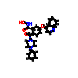 O=C(NO)[C@H]1C[C@H](Oc2ccnc3ccccc23)CC[C@@H]1C(=O)N1CCN(c2ccccc2)CC1